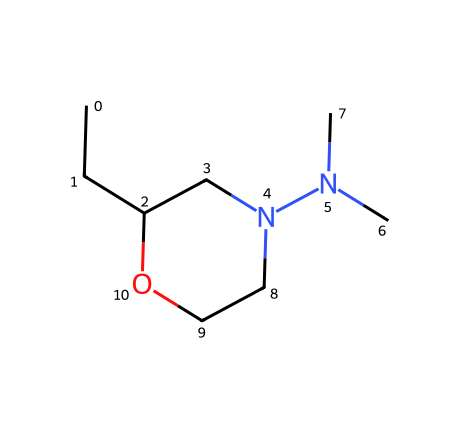 CCC1CN(N(C)C)CCO1